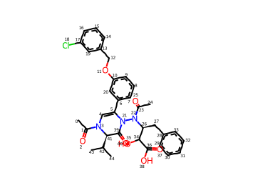 CC(=O)N1C=C(c2cccc(OCc3cccc(Cl)c3)c2)N(N(C(C)=O)[C@@H](Cc2ccccc2)C(O)C(=O)O)C(=O)[C@H]1C(C)C